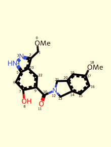 COCc1n[nH]c2cc(O)c(C(=O)N3Cc4ccc(OC)cc4C3)cc12